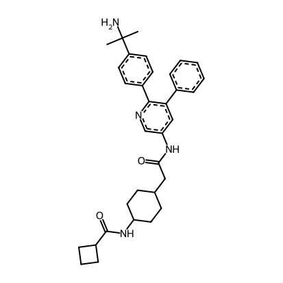 CC(C)(N)c1ccc(-c2ncc(NC(=O)CC3CCC(NC(=O)C4CCC4)CC3)cc2-c2ccccc2)cc1